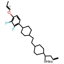 C=CCC(CCCCCC)C1CCC(CCC2CCC(c3ccc(O/C=C/C)c(F)c3F)CC2)CC1